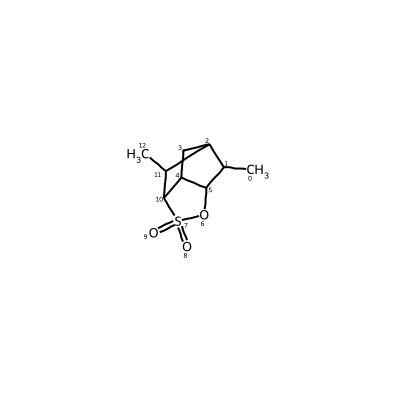 CC1C2CC3C1OS(=O)(=O)C3C2C